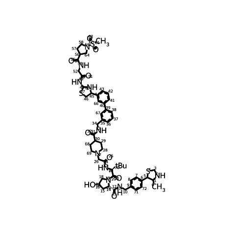 CC1NCSC1c1ccc(CNC(=O)[C@@H]2C[C@@H](O)CN2C(=O)[C@@H](NC(=O)CN2CCC(C(=O)NCc3cccc(-c4cccc(C5CSC(NC(=O)CNC(=O)C6CCN(S(C)(=O)=O)C6)N5)c4)c3)CC2)C(C)(C)C)cc1